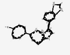 Fc1ccc(-c2ccc3ncc(-c4ccc5c(c4)OCO5)n3n2)cc1